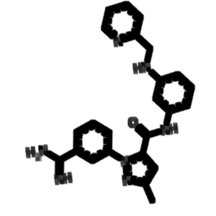 Cc1cc(C(=O)Nc2cccc(NCc3ccccn3)c2)n(-c2cccc(C(=N)N)c2)n1